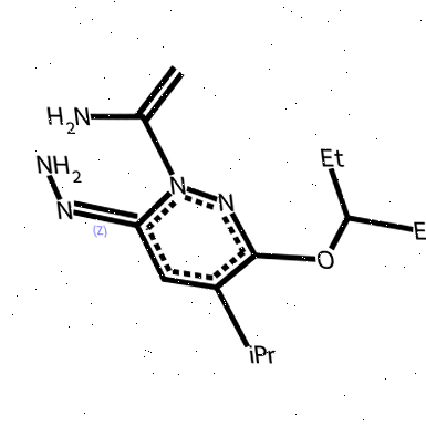 C=C(N)n1nc(OC(CC)CC)c(C(C)C)c/c1=N/N